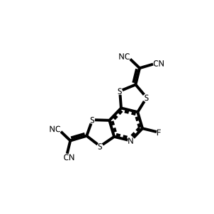 N#CC(C#N)=C1Sc2nc(F)c3c(c2S1)SC(=C(C#N)C#N)S3